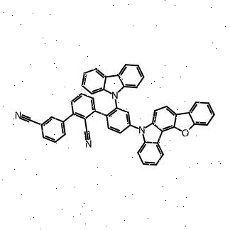 N#Cc1cccc(-c2cccc(-c3ccc(-n4c5ccccc5c5c6oc7ccccc7c6ccc54)cc3-n3c4ccccc4c4ccccc43)c2C#N)c1